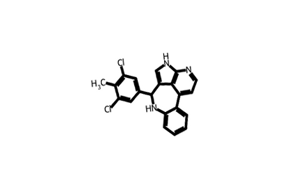 Cc1c(Cl)cc(C2Nc3ccccc3-c3ccnc4[nH]cc2c34)cc1Cl